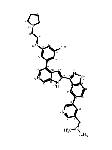 CN(C)Cc1cncc(-c2ccc3[nH]nc(-c4cc5c(-c6cc(F)cc(OCCN7CCCC7)c6)cncc5[nH]4)c3c2)c1